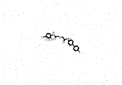 O=C(COCC(=O)Nc1ccc(Cl)cc1C(=O)O)Nc1ccc(-c2ccc(F)cc2)cc1